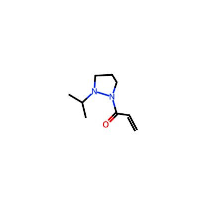 C=CC(=O)N1CCCN1C(C)C